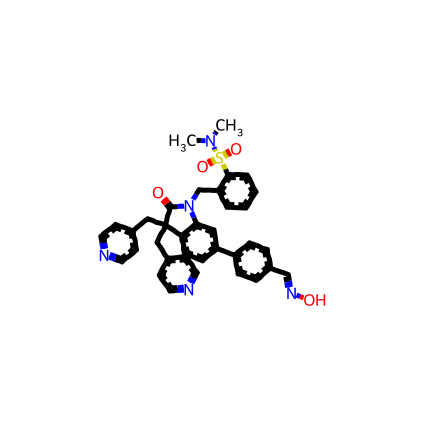 CN(C)S(=O)(=O)c1ccccc1CN1C(=O)C(Cc2ccncc2)(Cc2ccncc2)c2ccc(-c3ccc(C=NO)cc3)cc21